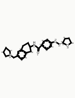 O=C(NC1CCc2cc(CN3CCCC3)ccc2C1)c1ccc(OC[C@@H]2CCCO2)cc1